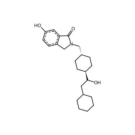 O=C1c2cc(O)ccc2CN1C[C@H]1CC[C@H](C(O)CC2CCCCC2)CC1